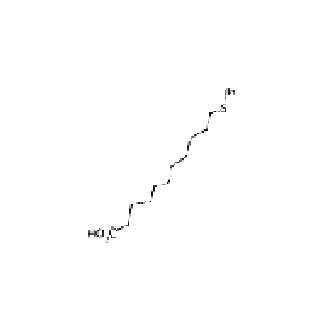 CC(C)SCCCCCCCCCCC(=O)O